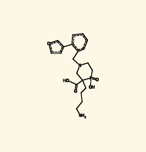 NCCCCC1(C(=O)O)CN(Cc2ccccc2-c2ccoc2)CCP1(=O)O